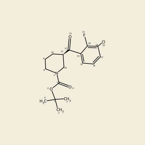 CC(C)(C)OC(=O)N1CCC[C@@H](C(=O)c2cccc(Cl)c2F)C1